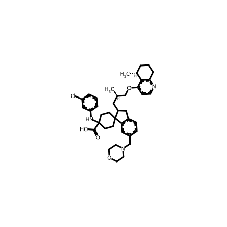 C[C@@H](COc1ccnc2c1[C@H](C)CCC2)CC1Cc2ccc(CN3CCOCC3)cc2C12CCC(Nc1cccc(Cl)c1)(C(=O)O)CC2